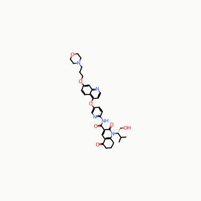 CC(C)[C@@H](CO)n1c2c(cc(C(=O)Nc3ccc(Oc4ccnc5cc(OCCCN6CCOCC6)ccc45)cn3)c1=O)C(=O)CCC2